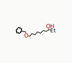 CC[C@H](O)CCCCCC[C@H](C)OCc1ccccc1